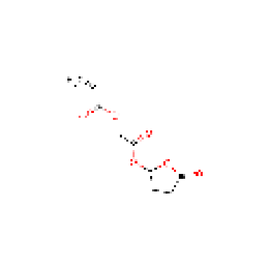 C=CC(=O)OCC(=O)OC1CCC(=O)O1